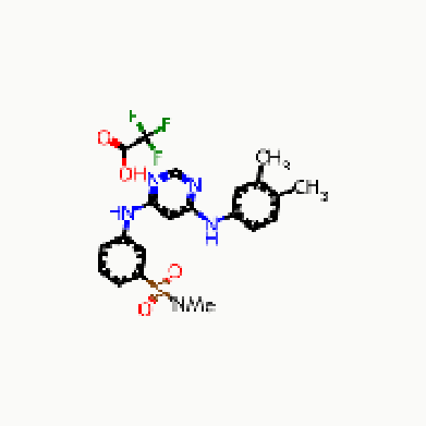 CNS(=O)(=O)c1cccc(Nc2cc(Nc3ccc(C)c(C)c3)ncn2)c1.O=C(O)C(F)(F)F